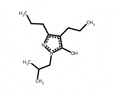 CCCc1nn(CC(C)C)c(O)c1CCC